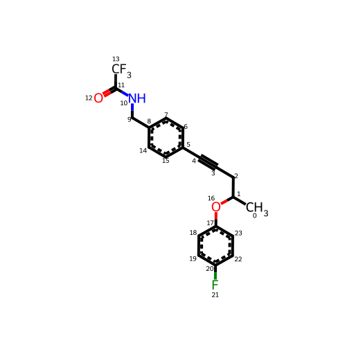 CC(CC#Cc1ccc(CNC(=O)C(F)(F)F)cc1)Oc1ccc(F)cc1